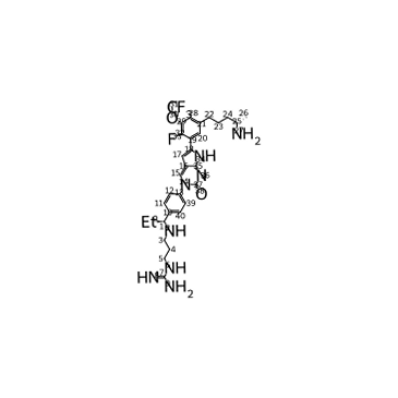 CC[C@H](NCCCNC(=N)N)c1ccc(-n2cc3cc(-c4cc(CCC[C@H](C)N)cc(OC(F)(F)F)c4F)[nH]c3nc2=O)cc1